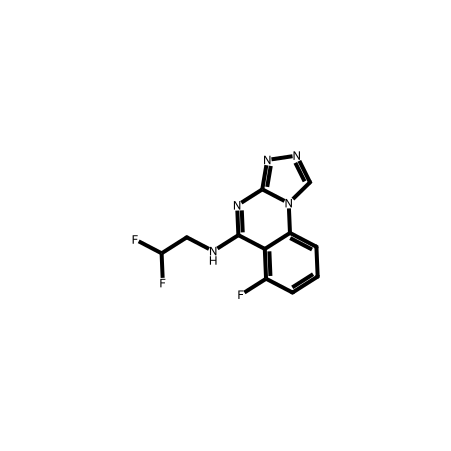 Fc1cccc2c1c(NCC(F)F)nc1nncn12